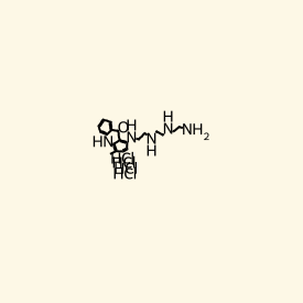 Cc1ccc(NCCNCCNCCN)c2c(=O)c3ccccc3[nH]c12.Cl.Cl.Cl.Cl